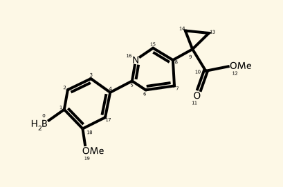 Bc1ccc(-c2ccc(C3(C(=O)OC)CC3)cn2)cc1OC